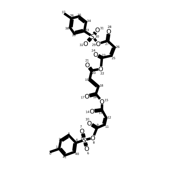 Cc1ccc(S(=O)(=O)OC(=O)/C=C\C(=O)OC(=O)/C=C/C(=O)OC(=O)/C=C\C(=O)OS(=O)(=O)c2ccc(C)cc2)cc1